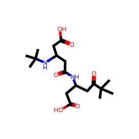 CC(C)(C)NC(CC(=O)O)CC(=O)NC(CC(=O)O)CC(=O)C(C)(C)C